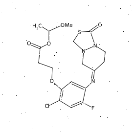 COC(C)OC(=O)CCOc1cc(N=C2CCN3C(=O)SCN3C2)c(F)cc1Cl